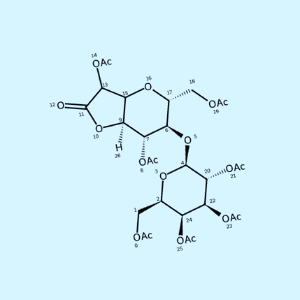 CC(=O)OC[C@H]1O[C@@H](O[C@H]2[C@H](OC(C)=O)[C@H]3OC(=O)C(OC(C)=O)C3O[C@@H]2COC(C)=O)[C@H](OC(C)=O)[C@@H](OC(C)=O)[C@H]1OC(C)=O